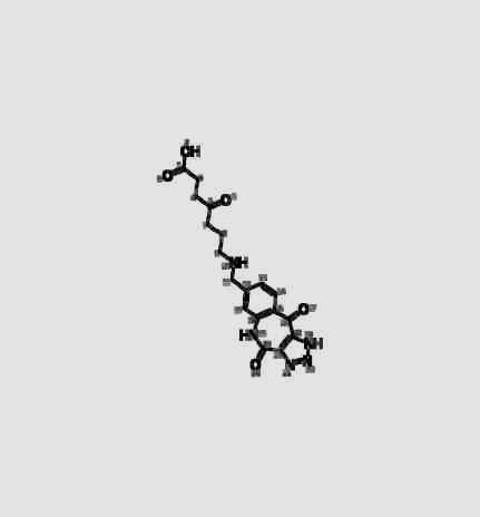 O=C(O)CCC(=O)CCCNCc1ccc2c(=O)c3[nH]nnc3c(=O)[nH]c2c1